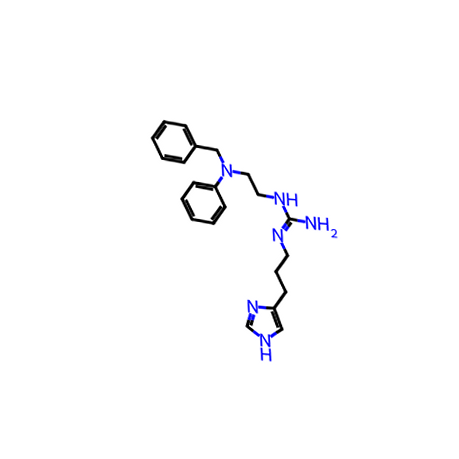 NC(=NCCCc1c[nH]cn1)NCCN(Cc1ccccc1)c1ccccc1